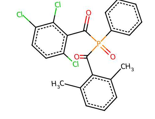 Cc1cccc(C)c1C(=O)P(=O)(C(=O)c1c(Cl)ccc(Cl)c1Cl)c1ccccc1